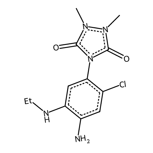 CCNc1cc(-n2c(=O)n(C)n(C)c2=O)c(Cl)cc1N